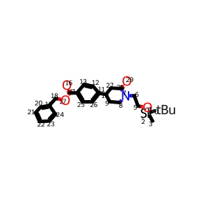 CC(C)(C)[Si](C)(C)OCCN1CCC(c2ccc(C(=O)OCc3ccccc3)cc2)CC1=O